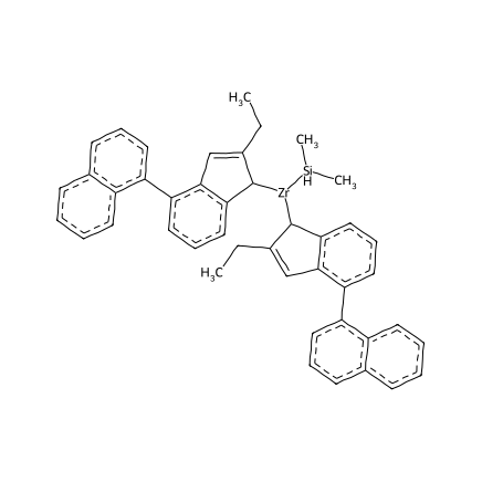 CCC1=Cc2c(-c3cccc4ccccc34)cccc2[CH]1[Zr]([CH]1C(CC)=Cc2c(-c3cccc4ccccc34)cccc21)[SiH](C)C